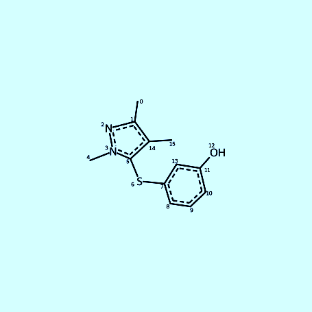 Cc1nn(C)c(Sc2cccc(O)c2)c1C